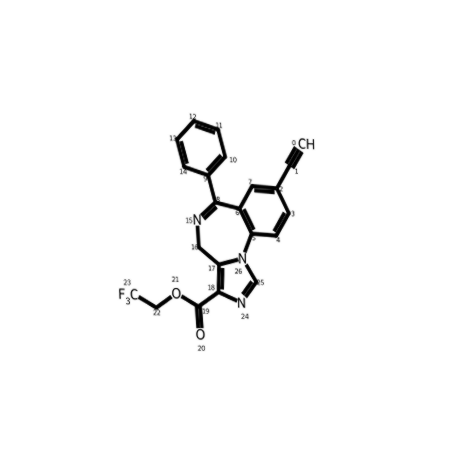 C#Cc1ccc2c(c1)C(c1ccccc1)=NCc1c(C(=O)OCC(F)(F)F)ncn1-2